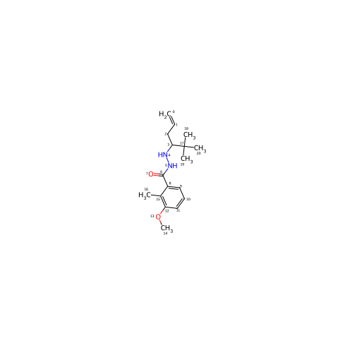 C=CCC(NNC(=O)c1cccc(OC)c1C)C(C)(C)C